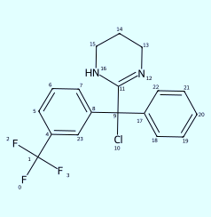 FC(F)(F)c1cccc(C(Cl)(C2=NCCCN2)c2ccccc2)c1